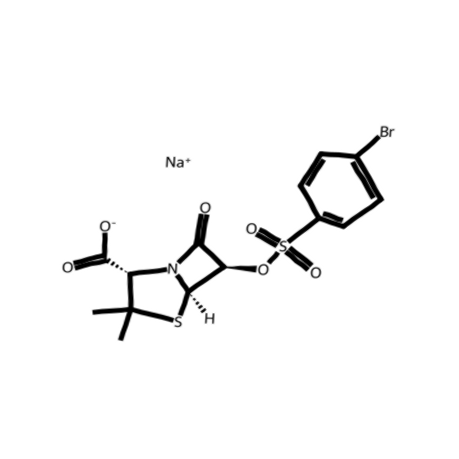 CC1(C)S[C@@H]2[C@H](OS(=O)(=O)c3ccc(Br)cc3)C(=O)N2[C@H]1C(=O)[O-].[Na+]